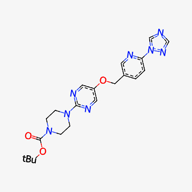 CC(C)(C)OC(=O)N1CCN(c2ncc(OCc3ccc(-n4cncn4)nc3)cn2)CC1